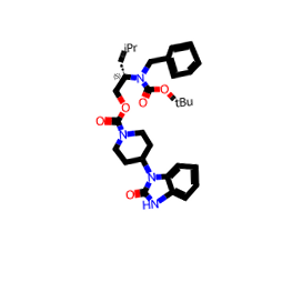 CC(C)C[C@@H](COC(=O)N1CCC(n2c(=O)[nH]c3ccccc32)CC1)N(Cc1ccccc1)C(=O)OC(C)(C)C